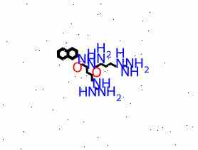 N=C(N)NCCCC(N)C(=O)NC(CCCNC(=N)N)C(=O)Nc1ccc2ccccc2c1